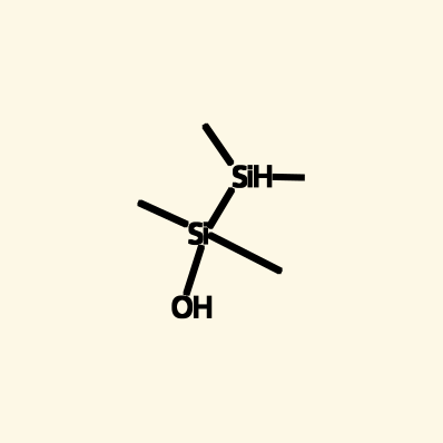 C[SiH](C)[Si](C)(C)O